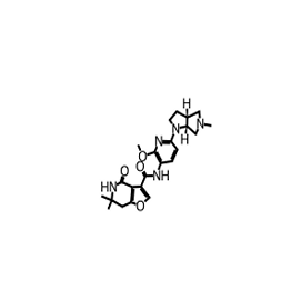 COc1nc(N2CC[C@@H]3CN(C)C[C@@H]32)ccc1NC(=O)c1coc2c1C(=O)NC(C)(C)C2